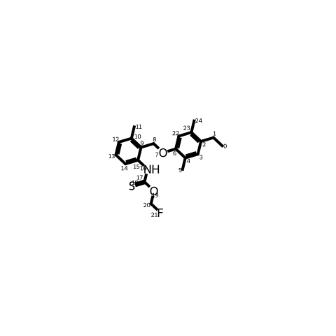 CCc1cc(C)c(OCc2c(C)cccc2NC(=S)OCF)cc1C